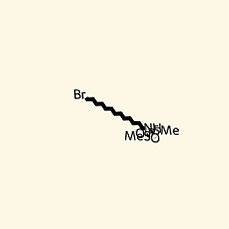 CSP(=O)(NC(=O)CCCCCCCCCCCCBr)SC